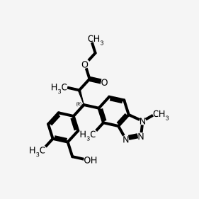 CCOC(=O)C(C)[C@H](c1ccc(C)c(CO)c1)c1ccc2c(nnn2C)c1C